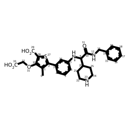 Cc1c(-c2cccc(NC(C(=O)NCc3ccccc3)C3CCNCC3)c2)sc(C(=O)O)c1OCC(=O)O